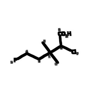 CC(C)(CCF)C(Cl)C(=O)O